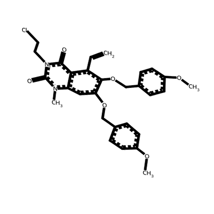 C=Cc1c(OCc2ccc(OC)cc2)c(OCc2ccc(OC)cc2)cc2c1c(=O)n(CCCl)c(=O)n2C